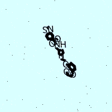 O=S(=O)(NCC1CCN(CCOc2cccc3c2OCCO3)C1)c1ccc2scnc2c1